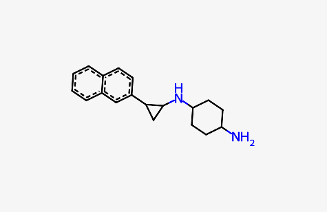 NC1CCC(NC2CC2c2ccc3ccccc3c2)CC1